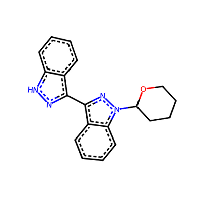 c1ccc2c(-c3nn(C4CCCCO4)c4ccccc34)n[nH]c2c1